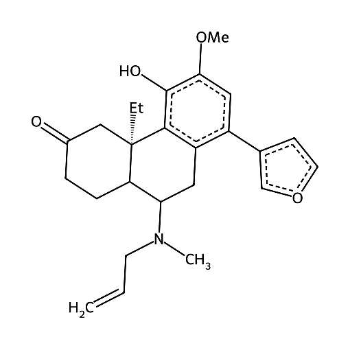 C=CCN(C)C1Cc2c(-c3ccoc3)cc(OC)c(O)c2[C@]2(CC)CC(=O)CCC12